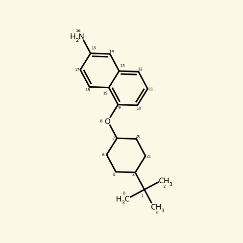 CC(C)(C)C1CCC(Oc2cccc3cc(N)ccc23)CC1